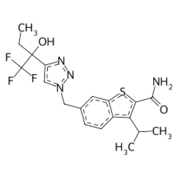 CCC(O)(c1cn(Cc2ccc3c(C(C)C)c(C(N)=O)sc3c2)nn1)C(F)(F)F